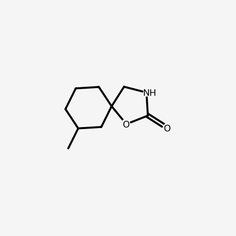 CC1CCCC2(CNC(=O)O2)C1